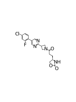 O=C1N[C@H](CCC(=O)N2CC(c3ncc(-c4ccc(Cl)cc4F)cn3)C2)CO1